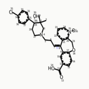 CC1(C)CN(CC/C=C2/c3cc(C(=O)O)ccc3OCc3c2ccc[n+]3[O-])CC[C@@]1(O)c1ccc(Cl)cc1